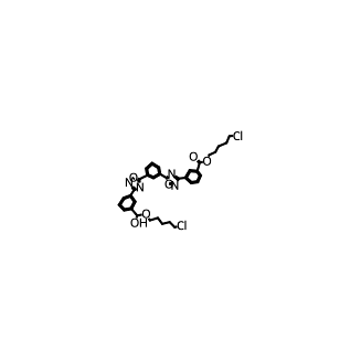 O=C(OCCCCCCl)c1cccc(-c2noc(-c3cccc(-c4nc(-c5cccc(C(O)OCCCCCCl)c5)no4)c3)n2)c1